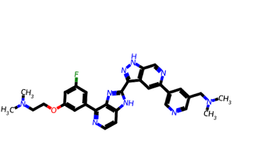 CN(C)CCOc1cc(F)cc(-c2nccc3[nH]c(-c4n[nH]c5cnc(-c6cncc(CN(C)C)c6)cc45)nc23)c1